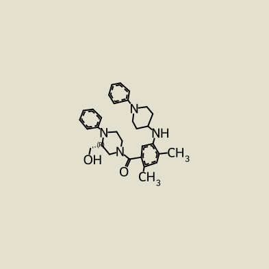 Cc1cc(C)c(C(=O)N2CCN(c3ccccc3)[C@@H](CO)C2)cc1NC1CCN(c2ccccc2)CC1